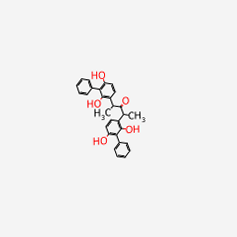 CC(C(=O)C(C)c1ccc(O)c(-c2ccccc2)c1O)c1ccc(O)c(-c2ccccc2)c1O